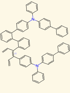 C=C/C(=C(\C=C)c1ccccc1-c1ccccc1-c1ccc(N(c2ccccc2)c2ccc(-c3ccccc3)cc2)cc1)c1ccc(N(c2ccccc2)c2ccc(-c3ccccc3)cc2)cc1